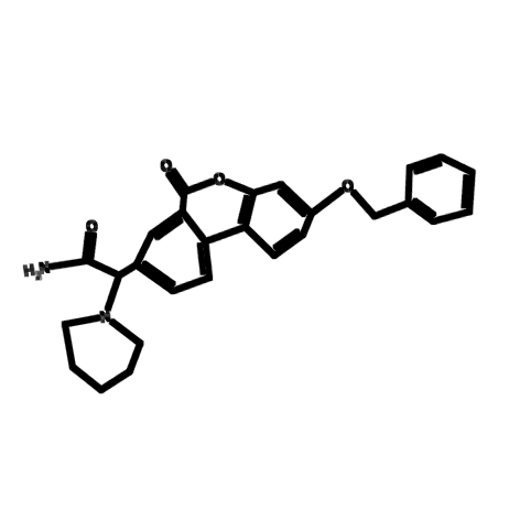 NC(=O)C(c1ccc2c(c1)c(=O)oc1cc(OCc3ccccc3)ccc12)N1CCCCC1